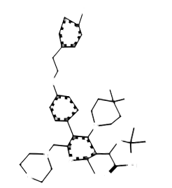 Cc1nc(CN2CCOCC2)c(-c2ccc(OCCc3ccc(F)cc3)cc2)c(N2CCC(C)(C)CC2)c1C(OC(C)(C)C)C(=O)O